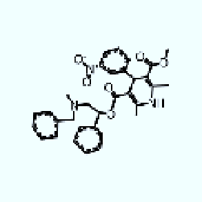 COC(=O)C1=C(C)NC(C)=C(C(=O)OC(CN(C)Cc2ccccc2)c2ccccc2)C1c1cccc([N+](=O)[O-])c1